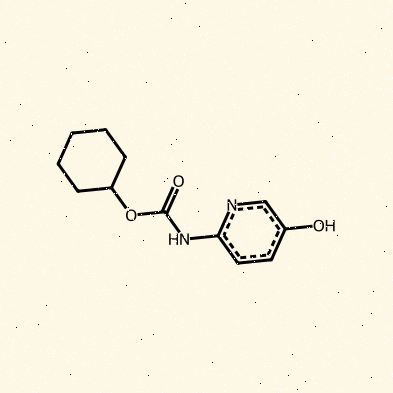 O=C(Nc1ccc(O)cn1)OC1CCCCC1